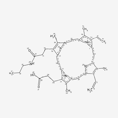 C=CC1=C(C)c2cc3[nH]c(cc4nc(cc5[nH]c(cc1n2)c(C)c5CCC(=O)O)C(CCC(=O)NCCC)=C4C)c(C)c3C=C